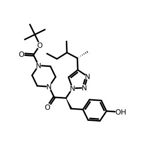 CCC(C)[C@H](C)c1cn([C@@H](Cc2ccc(O)cc2)C(=O)N2CCN(C(=O)OC(C)(C)C)CC2)nn1